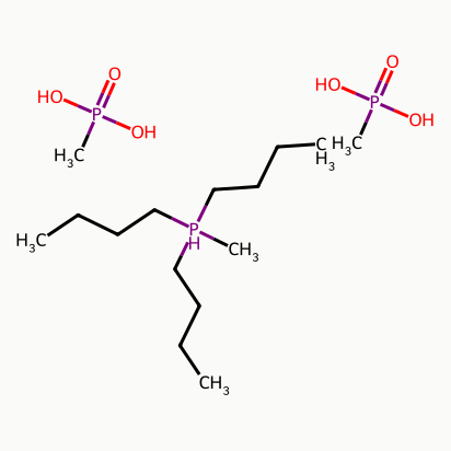 CCCC[PH](C)(CCCC)CCCC.CP(=O)(O)O.CP(=O)(O)O